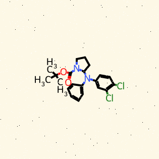 CC(C)(C)OC(=O)N1CCCC1N(c1ccccc1)c1ccc(Cl)c(Cl)c1